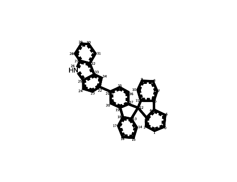 c1ccc2c(c1)-c1ccccc1C21c2ccccc2-c2cc(-c3ccc4[nH]c5ccccc5c4c3)ccc21